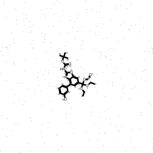 CCOC(OCC)(OP=O)c1cc(-c2cccc(Cl)c2)c2nc(NC(=O)OC(C)(C)C)oc2c1